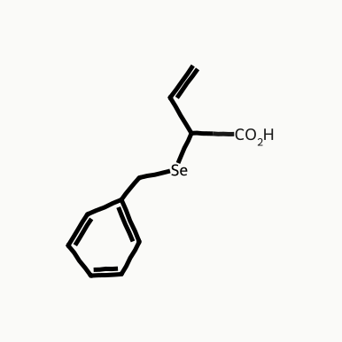 C=CC([Se]Cc1ccccc1)C(=O)O